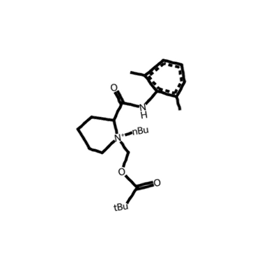 CCCC[N+]1(COC(=O)C(C)(C)C)CCCCC1C(=O)Nc1c(C)cccc1C